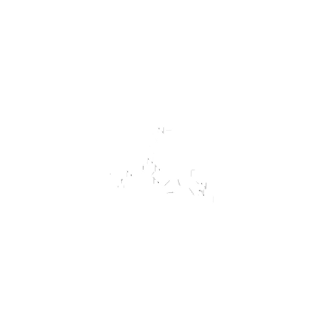 CC(=O)N1CCc2c(c(N3CCCc4cc(-c5cnn(C)c5)c(C(F)F)cc43)nn2C2CC3(CNC3)C2)C1